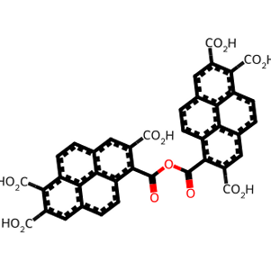 O=C(O)c1cc2ccc3c(C(=O)OC(=O)c4c(C(=O)O)cc5ccc6c(C(=O)O)c(C(=O)O)cc7ccc4c5c76)c(C(=O)O)cc4ccc(c1C(=O)O)c2c43